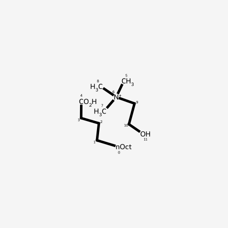 CCCCCCCCCCCC(=O)O.C[N+](C)(C)CCO